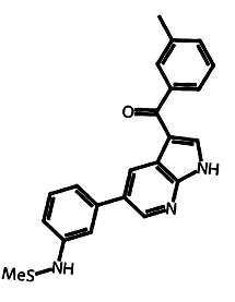 CSNc1cccc(-c2cnc3[nH]cc(C(=O)c4cccc(C)c4)c3c2)c1